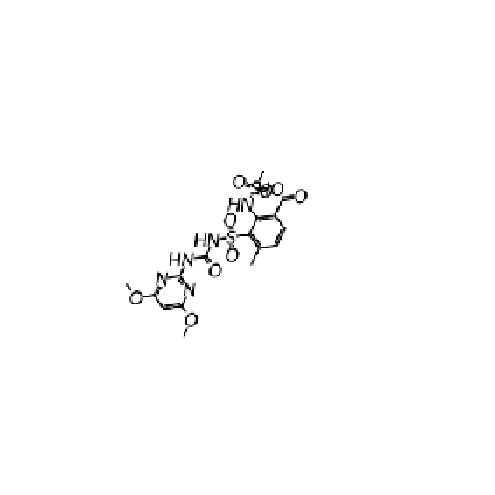 COc1cc(OC)nc(NC(=O)NS(=O)(=O)c2c(C)ccc(C(=O)O)c2NS(C)(=O)=O)n1